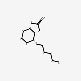 C1CCCCC1.CC(C)=O.CCCCCC